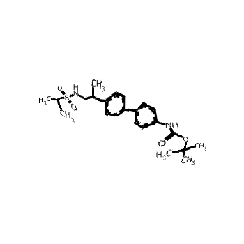 CC(CNS(=O)(=O)C(C)C)c1ccc(-c2ccc(NC(=O)OC(C)(C)C)cc2)cc1